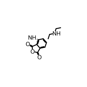 CCNCC.N.O=C1OC(=O)c2ccccc21